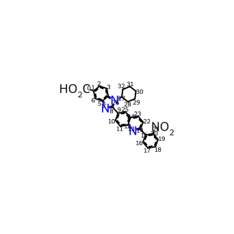 O=C(O)c1ccc2c(c1)nc(-c1ccc3nc(-c4ccccc4[N+](=O)[O-])ccc3c1)n2C1CCCCC1